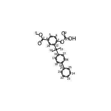 COC(=O)c1ccc(OC(=O)O)c(C(C)(C)c2ccc(-c3ccccc3)cc2)c1